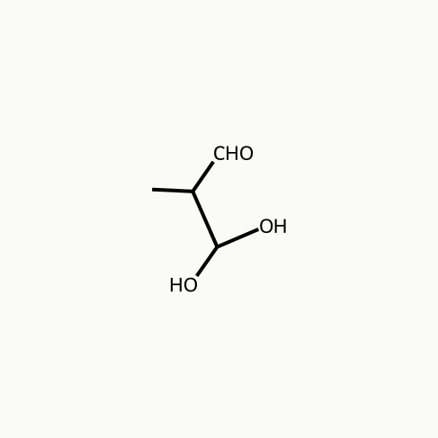 CC(C=O)C(O)O